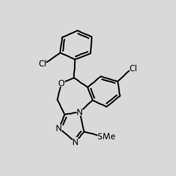 CSc1nnc2n1-c1ccc(Cl)cc1C(c1ccccc1Cl)OC2